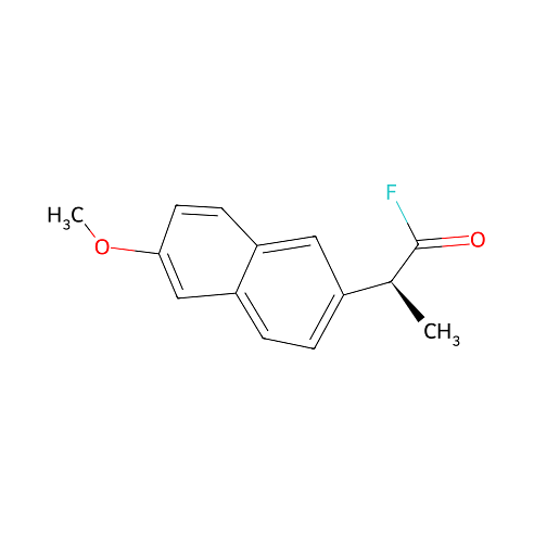 COc1ccc2cc([C@H](C)C(=O)F)ccc2c1